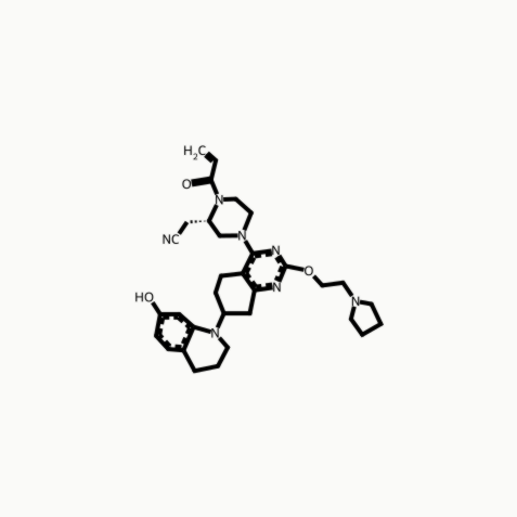 C=CC(=O)N1CCN(c2nc(OCCN3CCCC3)nc3c2CCC(N2CCCc4ccc(O)cc42)C3)C[C@@H]1CC#N